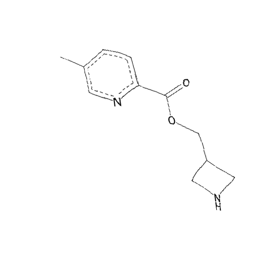 Cc1ccc(C(=O)OCC2CNC2)nc1